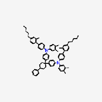 CCCCCc1ccc(-c2ccc(N(c3ccc(C4(c5ccc(N(c6ccc(-c7ccc(CCCCC)cc7C)cc6)c6ccc(C)c(C)c6)cc5)CCC(c5ccccc5)CC4)cc3)c3ccc(C)c(C)c3)cc2)c(C)c1